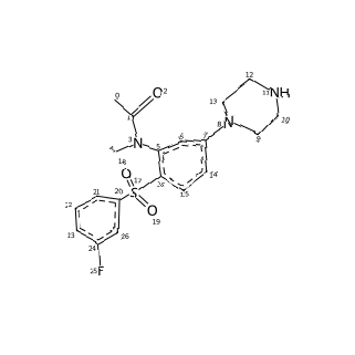 CC(=O)N(C)c1cc(N2CCNCC2)ccc1S(=O)(=O)c1cccc(F)c1